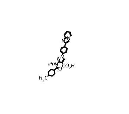 CC1CCC(C(=O)N(c2nn(-c3ccc(-c4cn5ccccc5n4)cc3)cc2C(=O)O)C(C)C)CC1